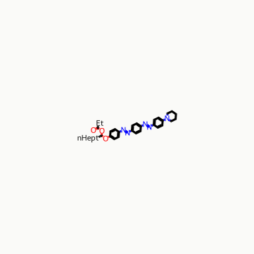 CCCCCCCC(OC(=O)CC)Oc1ccc(N=Nc2ccc(N=Nc3ccc(N4CCCCC4)cc3)cc2)cc1